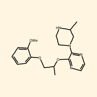 COc1ccccc1OCC(C)Oc1nccnc1N1CCNC(C)C1